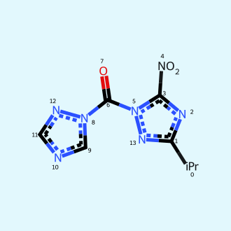 CC(C)c1nc([N+](=O)[O-])n(C(=O)n2cncn2)n1